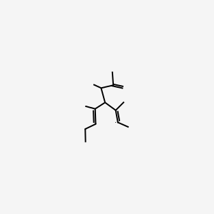 C=C(C)C(C)C(C(C)=CCC)/C(C)=[C]/C